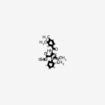 Cc1ccc(C(=O)Nc2nc(N(C)C)n(-c3ccccc3)c2C(=O)OC(C)(C)C)cc1C